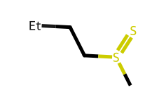 CCCCS(C)=S